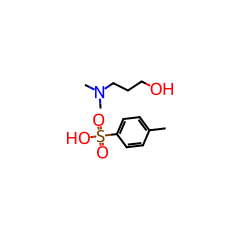 CN(C)CCCO.Cc1ccc(S(=O)(=O)O)cc1